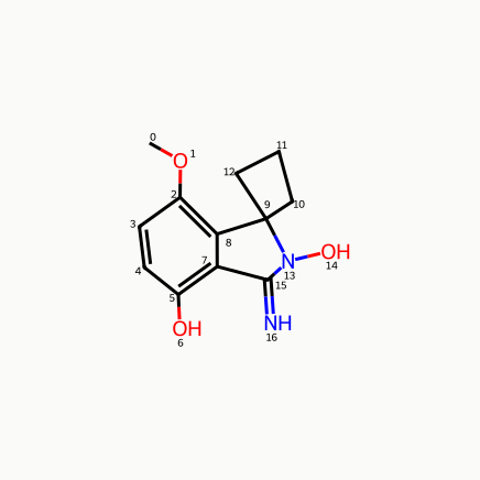 COc1ccc(O)c2c1C1(CCC1)N(O)C2=N